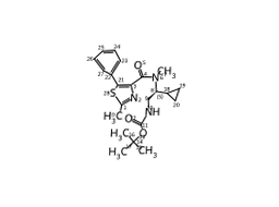 Cc1nc(C(=O)N(C)[C@H](CNC(=O)OC(C)(C)C)C2CC2)c(-c2ccccc2)s1